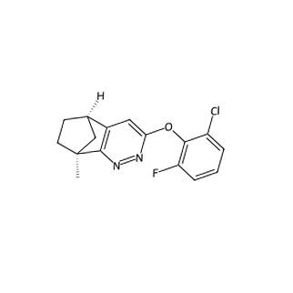 C[C@]12CC[C@H](C1)c1cc(Oc3c(F)cccc3Cl)nnc12